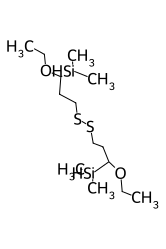 CCOC(CCSSCCC(OCC)[SiH](C)C)[SiH](C)C